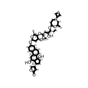 CC[C@@H](OC1CCN(C2CSC2)CC(C)O1)[C@@H](O)C[C@@H](OC)O[C@@H]1[C@H](C)O[C@@H](O[C@H]2CC[C@@]3(C)C(CCC4C3C[C@H](O)[C@]3(C)[C@@H](C5=CC(=O)OC5)CC[C@]43O)C2)C[C@@H]1O